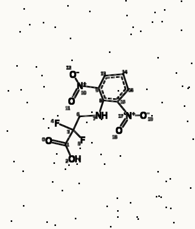 O=C(O)C(F)(F)CNc1c([N+](=O)[O-])cccc1[N+](=O)[O-]